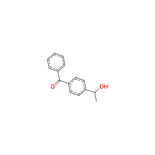 CC(O)c1ccc(C(=O)c2ccccc2)cc1